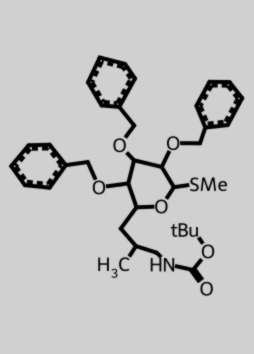 CSC1OC(CC(C)CNC(=O)OC(C)(C)C)C(OCc2ccccc2)C(OCc2ccccc2)C1OCc1ccccc1